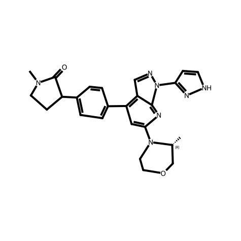 C[C@@H]1COCCN1c1cc(-c2ccc(C3CCN(C)C3=O)cc2)c2cnn(-c3cc[nH]n3)c2n1